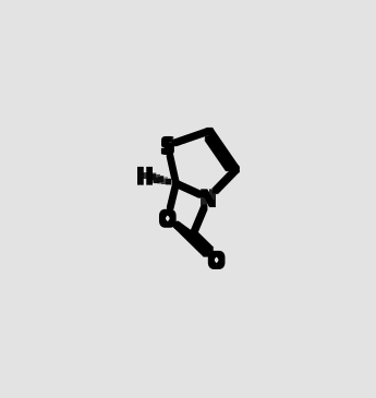 O=C1O[C@H]2SC=CN12